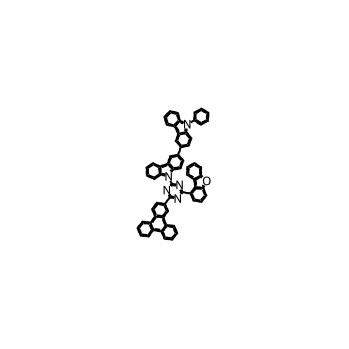 c1ccc(-n2c3ccccc3c3cc(-c4ccc5c(c4)c4ccccc4n5-c4nc(-c5ccc6c7ccccc7c7ccccc7c6c5)nc(-c5cccc6oc7ccccc7c56)n4)ccc32)cc1